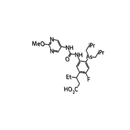 CCC(CC(=O)O)c1cc(NC(=O)Nc2cnc(OC)nc2)c([As](CC(C)C)CC(C)C)cc1F